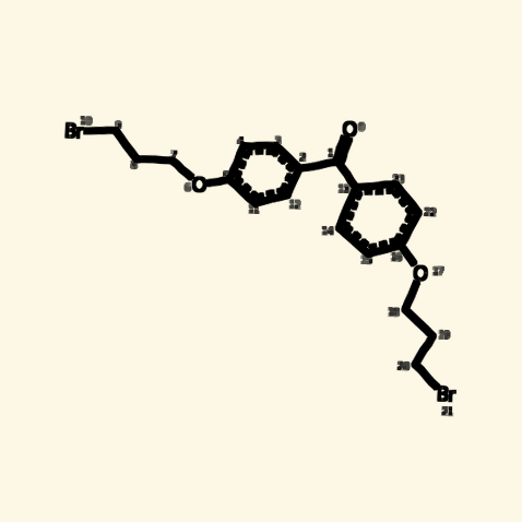 O=C(c1ccc(OCCCBr)cc1)c1ccc(OCCCBr)cc1